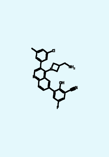 Cc1cc(Cl)cc(-c2cnc3ccc(-c4cc(F)cc(C#N)c4O)cc3c2N2CC(CN)C2)c1